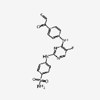 NS(=O)(=O)c1ccc(Nc2ncc(F)c(Nc3ccc(C(=O)C=S)cc3)n2)cc1